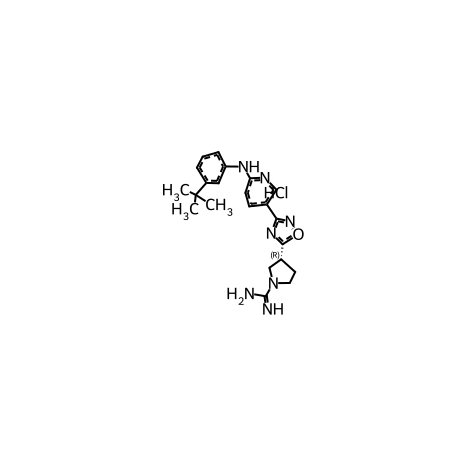 CC(C)(C)c1cccc(Nc2ccc(-c3noc([C@@H]4CCN(C(=N)N)C4)n3)cn2)c1.Cl